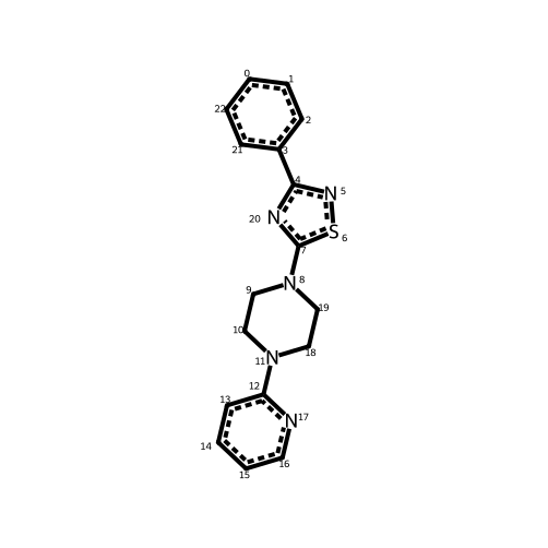 c1ccc(-c2nsc(N3CCN(c4ccccn4)CC3)n2)cc1